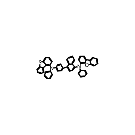 c1ccc(N(c2ccc(-c3ccc(N(c4ccccc4)c4cccc5sc6ccccc6c45)cc3)c3ccccc23)c2cccc3c2oc2ccccc23)cc1